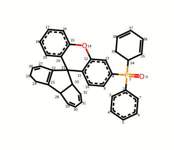 O=P(c1ccccc1)(c1ccc2c(c1)Oc1ccccc1C21C2=C(CCC=C2)C2C=CC=CC21)C1C=CC=CC1